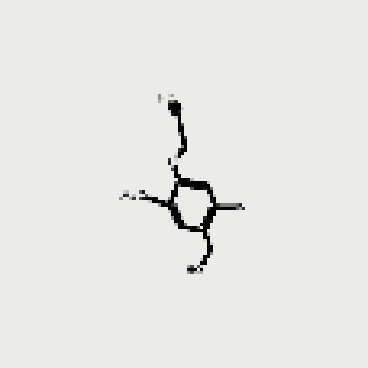 C#CCOc1cc(Br)c(CO)cc1OC